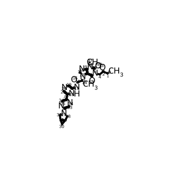 CCC(=O)Cn1c(=O)c2c(ncn2[C@@H](C)C(=O)Nc2cncc(-c3cnc(N4CC5CC5C4)cn3)n2)n(C)c1=O